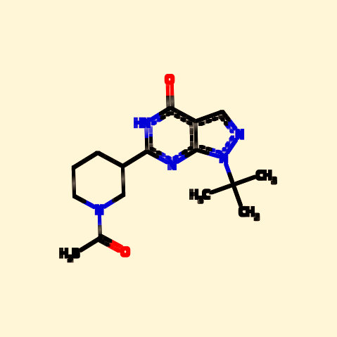 BC(=O)N1CCCC(c2nc3c(cnn3C(C)(C)C)c(=O)[nH]2)C1